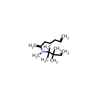 C=CCCCC(=C)N(C)C(C)(C)C(C)(C)C=C